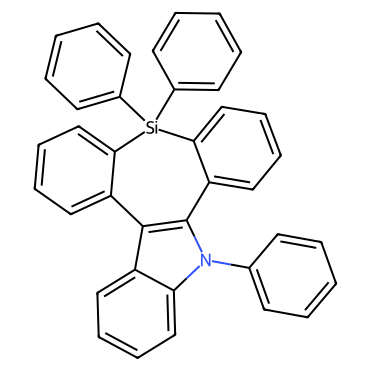 c1ccc(-n2c3c(c4ccccc42)-c2ccccc2[Si](c2ccccc2)(c2ccccc2)c2ccccc2-3)cc1